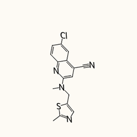 Cc1ncc(CN(C)c2cc(C#N)c3cc(Cl)ccc3n2)s1